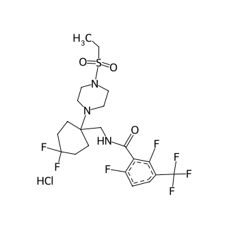 CCS(=O)(=O)N1CCN(C2(CNC(=O)c3c(F)ccc(C(F)(F)F)c3F)CCC(F)(F)CC2)CC1.Cl